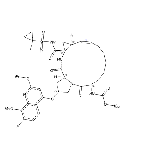 COc1c(F)ccc2c(O[C@@H]3C[C@H]4C(=O)N[C@]5(C(=O)NS(=O)(=O)C6(C)CC6)C[C@H]5/C=C\CCCCC[C@H](NC(=O)OC(C)(C)C)C(=O)N4C3)cc(OC(C)C)nc12